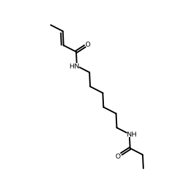 C/C=C/C(=O)NCCCCCCNC(=O)CC